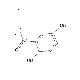 C[N+](=O)c1cc(O)ccc1O